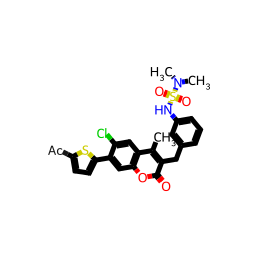 CC(=O)c1ccc(-c2cc3oc(=O)c(Cc4cccc(NS(=O)(=O)N(C)C)c4)c(C)c3cc2Cl)s1